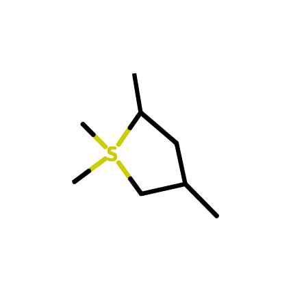 CC1CC(C)S(C)(C)C1